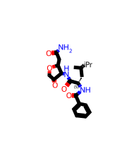 CC(C)C(C)C[C@H](NC(=O)c1ccccc1)C(=O)NC1C(=O)COC1CC(N)=O